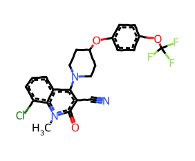 Cn1c(=O)c(C#N)c(N2CCC(Oc3ccc(OC(F)(F)F)cc3)CC2)c2cccc(Cl)c21